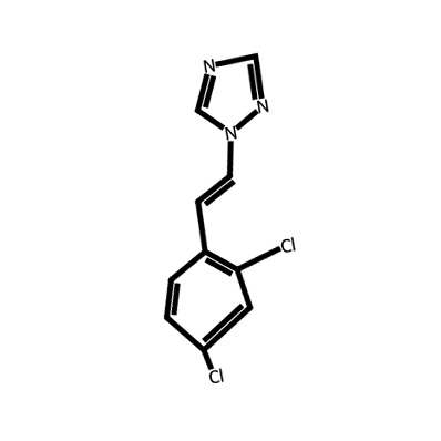 Clc1ccc(C=Cn2cncn2)c(Cl)c1